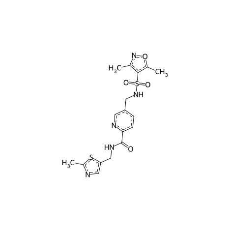 Cc1ncc(CNC(=O)c2ccc(CNS(=O)(=O)c3c(C)noc3C)cn2)s1